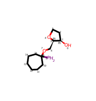 O[C@@H]1CCO[C@@H]1COC1(P)CCCCCC1